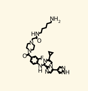 NCCCCCNC(=O)CN1CCN(C(=O)c2ccc(Nc3nc(C4CC4)cn4c(-c5cn[nH]c5)cnc34)c(F)c2)CC1